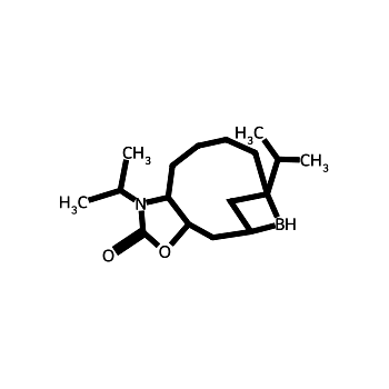 CC(C)N1C(=O)OC2CC3BC(C(C)C)(CCCCC21)C3